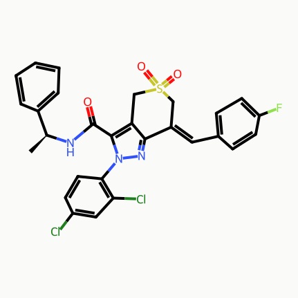 C[C@H](NC(=O)c1c2c(nn1-c1ccc(Cl)cc1Cl)/C(=C/c1ccc(F)cc1)CS(=O)(=O)C2)c1ccccc1